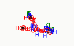 C[C@H]1COCNc2cnn(C(F)F)c2-c2ccnc(c2)[C@@H](n2cnc(-c3cc(Cl)ccc3-n3cc(Cl)nn3)cc2=O)CCC1CCCCNC(=O)COCCOCCOCC(=O)NC(COCCC(=O)NCCOCCOCCOCCOC[C@H]1OC[C@H](Nc2cncc(C(F)(F)F)n2)[C@@H](O)[C@H]1O)COCCC(=O)NCCOCCOCCOCCOC[C@H]1OCC[C@@H](O)[C@H]1O